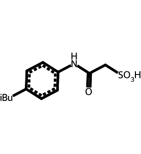 CCC(C)c1ccc(NC(=O)CS(=O)(=O)O)cc1